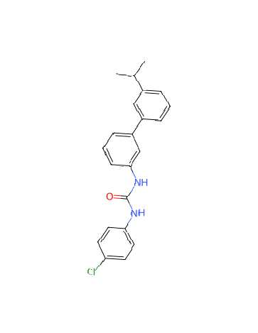 CC(C)c1cccc(-c2cccc(NC(=O)Nc3ccc(Cl)cc3)c2)c1